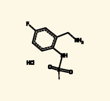 CS(=O)(=O)Nc1ccc(F)cc1CN.Cl